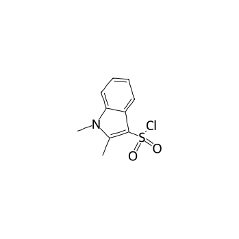 Cc1c(S(=O)(=O)Cl)c2ccccc2n1C